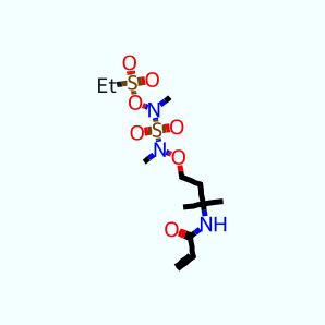 C=CC(=O)NC(C)(C)CCON(C)S(=O)(=O)N(C)OS(=O)(=O)CC